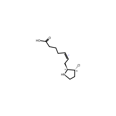 O=C(O)CCC/C=C\C[C@@H]1NCC[C@H]1Cl